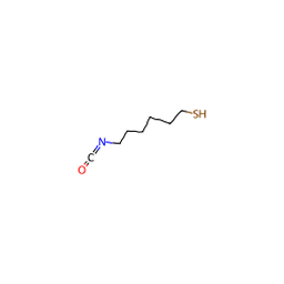 O=C=NCCCCCCS